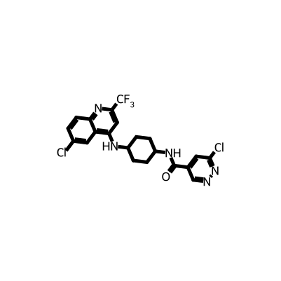 O=C(NC1CCC(Nc2cc(C(F)(F)F)nc3ccc(Cl)cc23)CC1)c1cnnc(Cl)c1